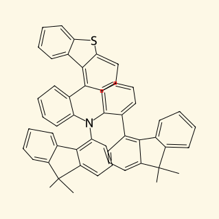 CC1(C)c2ccccc2-c2c(-c3ccccc3N(c3ccccc3-c3cccc4sc5ccccc5c34)c3cccc4c3-c3ccccc3C4(C)C)cccc21